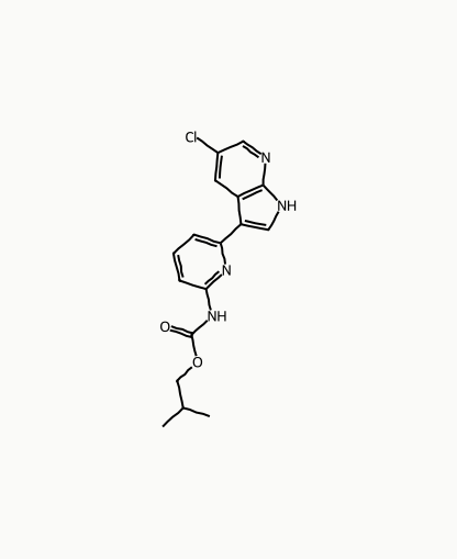 CC(C)COC(=O)Nc1cccc(-c2c[nH]c3ncc(Cl)cc23)n1